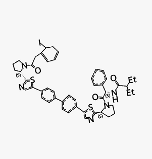 CCC(CC)C(=O)N[C@H](C(=O)N1CCC[C@H]1c1ncc(-c2ccc(-c3ccc(-c4cnc([C@@H]5CCCN5C(=O)CC5=CC=CCC5I)s4)cc3)cc2)s1)c1ccccc1